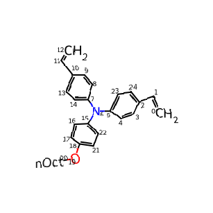 C=Cc1ccc(N(c2ccc(C=C)cc2)c2ccc(OCCCCCCCC)cc2)cc1